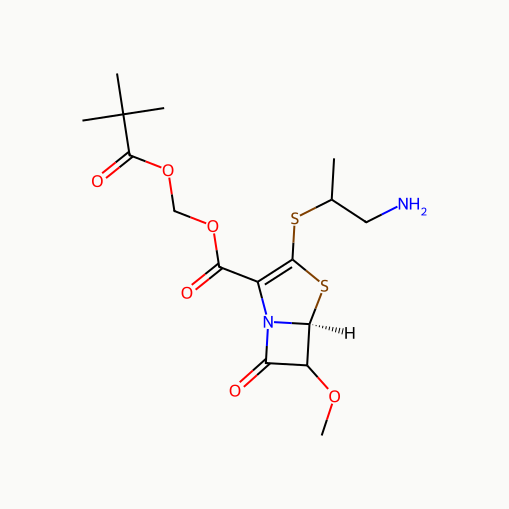 COC1C(=O)N2C(C(=O)OCOC(=O)C(C)(C)C)=C(SC(C)CN)S[C@@H]12